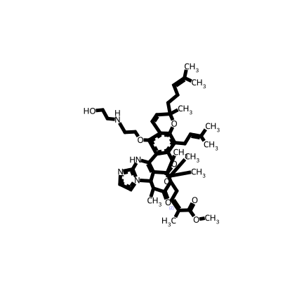 COC(=O)/C(C)=C\CC12OC(C)(C)C(C)C13Oc1c(CC=C(C)C)c4c(c(OCCNCCO)c1C1=C3C(C(C)C2=O)n2ccnc2N1)C=CC(C)(CCC=C(C)C)O4